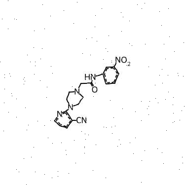 N#Cc1cccnc1N1CCN(CC(=O)Nc2cccc([N+](=O)[O-])c2)CC1